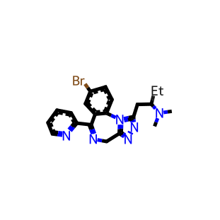 CCC(Cc1nnc2n1-c1ccc(Br)cc1C(c1ccccn1)=NC2)N(C)C